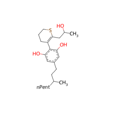 CCCCCC(C)CCc1cc(O)c(C2=C(CC(C)O)SCCC2)c(O)c1